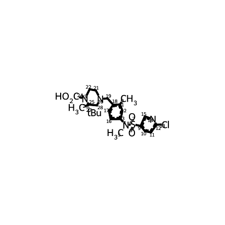 Cc1cc(N(C)S(=O)(=O)c2ccc(Cl)nc2)ccc1CN1CCN(C(=O)O)[C@@](C)(C(C)(C)C)C1